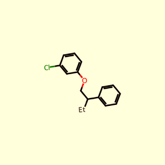 CCC(COc1cccc(Cl)c1)c1ccccc1